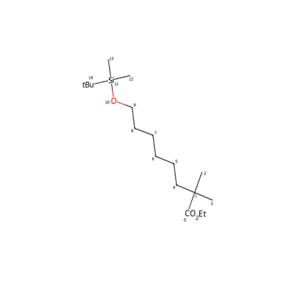 CCOC(=O)C(C)(C)CCCCCCO[Si](C)(C)C(C)(C)C